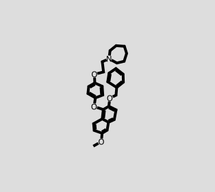 COc1ccc2c(Oc3ccc(OCCN4CCCCCC4)cc3)c(OCc3ccccc3)ccc2c1